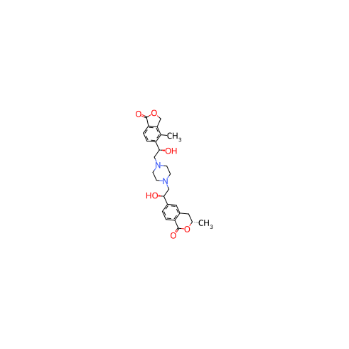 Cc1c([C@@H](O)CN2CCN(C[C@H](O)c3ccc4c(c3)C[C@H](C)OC4=O)CC2)ccc2c1COC2=O